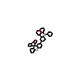 c1ccc(-c2cc(-c3ccc4c(c3)C3(c5ccccc5O4)c4ccccc4-c4ccccc43)ccc2N(c2ccccc2)c2ccccc2)cc1